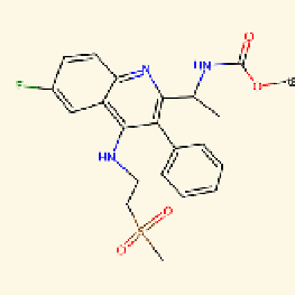 CC(NC(=O)OC(C)(C)C)c1nc2ccc(F)cc2c(NCCS(C)(=O)=O)c1-c1ccccc1